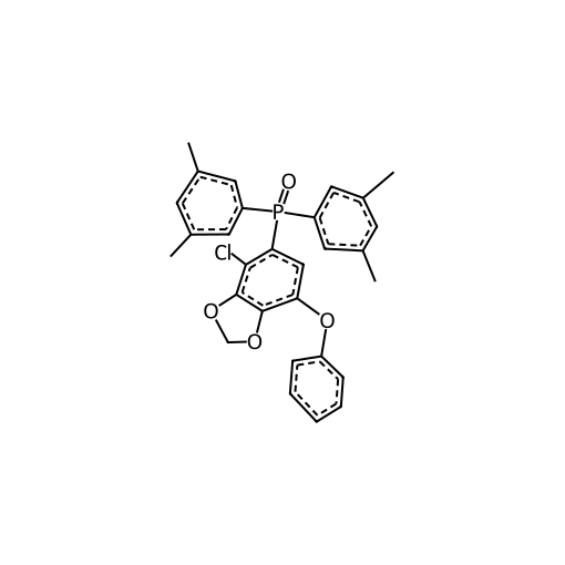 Cc1cc(C)cc(P(=O)(c2cc(C)cc(C)c2)c2cc(Oc3ccccc3)c3c(c2Cl)OCO3)c1